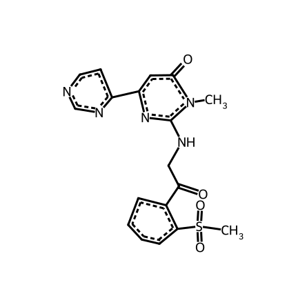 Cn1c(NCC(=O)c2ccccc2S(C)(=O)=O)nc(-c2ccncn2)cc1=O